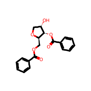 O=C(OC[C@H]1OC[C@H](O)[C@@H]1OC(=O)c1ccccc1)c1ccccc1